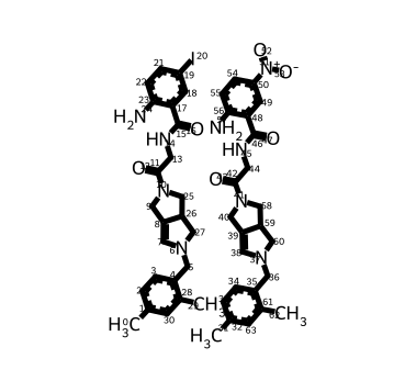 Cc1ccc(CN2C=C3CN(C(=O)CNC(=O)c4cc(I)ccc4N)CC3C2)c(C)c1.Cc1ccc(CN2C=C3CN(C(=O)CNC(=O)c4cc([N+](=O)[O-])ccc4N)CC3C2)c(C)c1